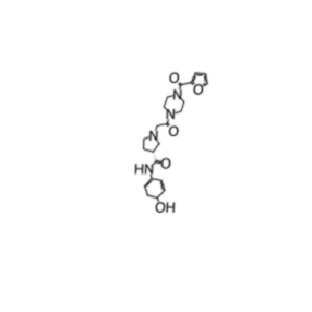 O=C(NC1=CCC(O)C=C1)[C@@H]1CCN(CC(=O)N2CCN(C(=O)c3ccco3)CC2)C1